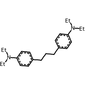 CCN(CC)c1ccc(CCCc2ccc(N(CC)CC)cc2)cc1